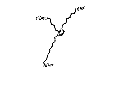 CCCCCCCCCCCCCCCCCCC[n+]1ccn(CCCCCCCCCCCCCCCC)c1CCCCCCCCCCCCCC